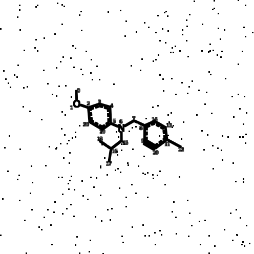 COc1ccc(N(Cc2c#cc(C)cc2)CC(C)C)cc1